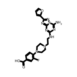 Nc1nc(NCCN2CCN(c3ccc(C(=O)O)cc3F)CC2)nc2nc(-c3ccco3)nn12